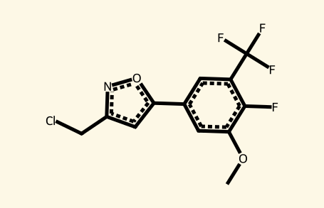 COc1cc(-c2cc(CCl)no2)cc(C(F)(F)F)c1F